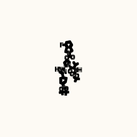 CC(C)C(NC(=O)OC(C)(C)C)C(=O)N1C[C@H](OC(=O)N2Cc3cccc(F)c3C2)C[C@H]1c1nc(-c2ccc(B3OC(C)(C)C(C)(C)O3)cc2)c[nH]1